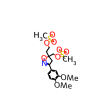 COc1ccc(C2=NOC(CCOS(C)(=O)=O)(COS(C)(=O)=O)C2)cc1OC